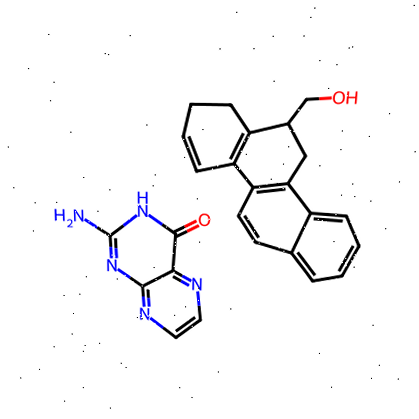 Nc1nc2nccnc2c(=O)[nH]1.OCC1Cc2c(ccc3ccccc23)C2=C1CCC=C2